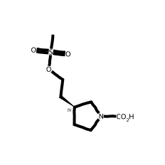 CS(=O)(=O)OCC[C@@H]1CCN(C(=O)O)C1